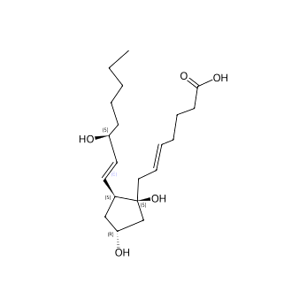 CCCCC[C@H](O)/C=C/[C@@H]1C[C@@H](O)C[C@@]1(O)CC=CCCCC(=O)O